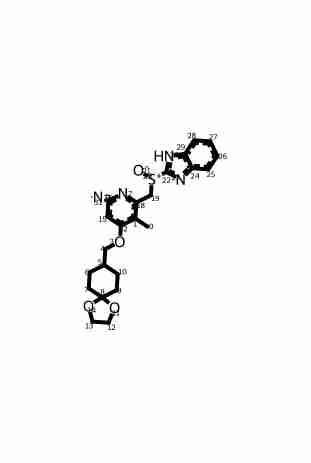 Cc1c(OCC2CCC3(CC2)OCCO3)ccnc1C[S+]([O-])c1nc2ccccc2[nH]1.[Na]